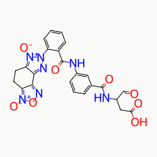 O=CC(CC(=O)O)NC(=O)c1cccc(NC(=O)c2ccccc2-n2nc3c([n+]2[O-])CCc2c-3no[n+]2[O-])c1